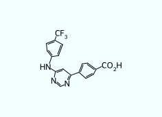 O=C(O)c1ccc(-c2cc(Nc3ccc(C(F)(F)F)cc3)ncn2)cc1